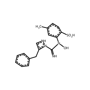 Cc1ccc(S(=O)(=O)O)c(N(O)C(=N)n2[nH]cc2Cc2ccccc2)c1